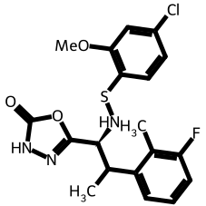 COc1cc(Cl)ccc1SN[C@H](c1n[nH]c(=O)o1)C(C)c1cccc(F)c1C